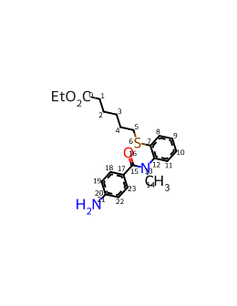 CCOC(=O)CCCCCSc1ccccc1N(C)C(=O)c1ccc(N)cc1